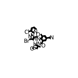 Cc1cc(C#N)cc(C(=O)NC2(C)C[S+]([O-])C2)c1NC(=O)c1cc(Br)nn1-c1ncccc1Cl